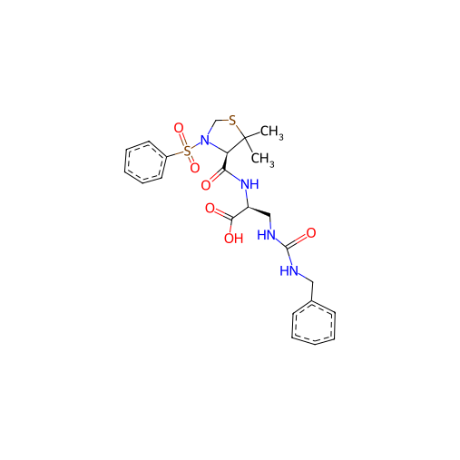 CC1(C)SCN(S(=O)(=O)c2ccccc2)[C@@H]1C(=O)N[C@@H](CNC(=O)NCc1ccccc1)C(=O)O